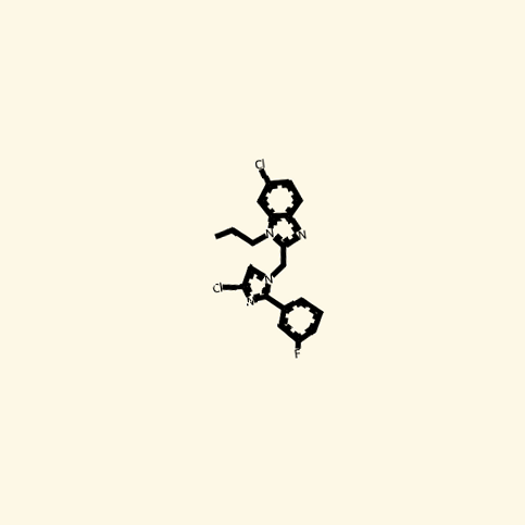 CCCn1c(Cn2cc(Cl)nc2-c2cccc(F)c2)nc2ccc(Cl)cc21